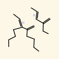 C=C(/C=C/C)CC.C=C(CCCC)/C(=C/C)CCCC